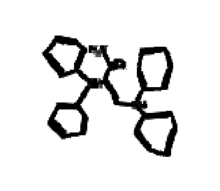 NC(=O)C(=C[SiH](c1ccccc1)c1ccccc1)[SiH](c1ccccc1)c1ccccc1